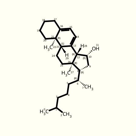 CC(C)CCC[C@@H](C)[C@H]1C[C@@H](O)[C@H]2C3=CC=C4CCCC[C@]4(C)[C@H]3CC[C@]12C